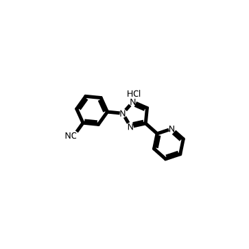 Cl.N#Cc1cccc(-n2ncc(-c3ccccn3)n2)c1